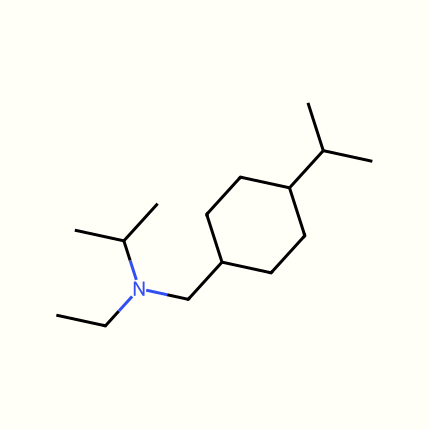 CCN(CC1CCC(C(C)C)CC1)C(C)C